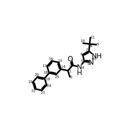 CC(C(=O)Nc1cc(C(C)(C)C)[nH]n1)c1cccc(-c2ccccc2)c1